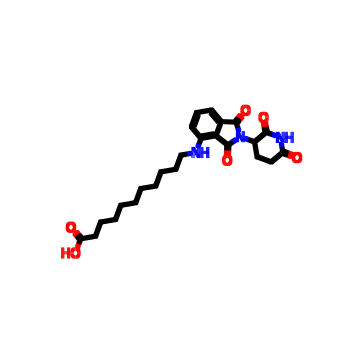 O=C(O)CCCCCCCCCCNc1cccc2c1C(=O)N(C1CCC(=O)NC1=O)C2=O